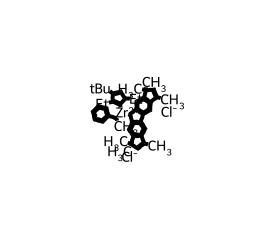 CCC1=[C](/[Zr+2](=[C](/C)c2ccccc2)[CH]2c3cc4c(cc3-c3cc5c(cc32)C(C)(C)C=C5C)C(C)=CC4(C)C)C(CC)C=C1C(C)(C)C.[Cl-].[Cl-]